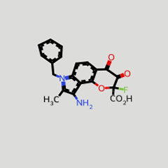 Cc1c(N)c2c3c(ccc2n1Cc1ccccc1)C(=O)C(=O)C(F)(C(=O)O)O3